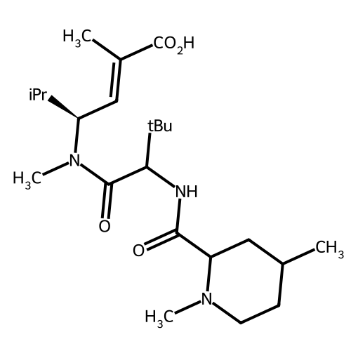 C/C(=C\[C@H](C(C)C)N(C)C(=O)C(NC(=O)C1CC(C)CCN1C)C(C)(C)C)C(=O)O